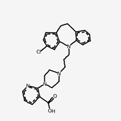 O=C(O)c1cccnc1N1CCN(CCCN2c3ccccc3CCc3ccc(Cl)cc32)CC1